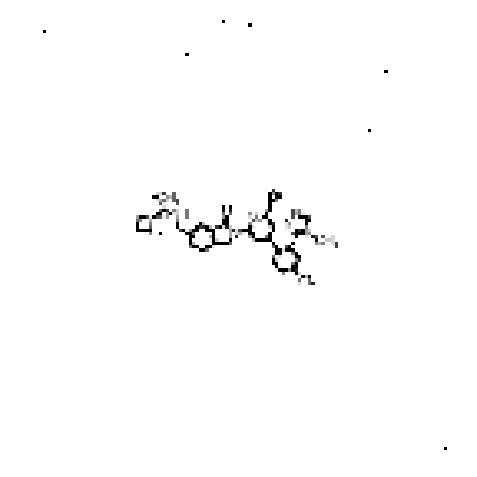 C[C@@H](NCc1ccc2c(c1)C(=O)N(c1cc(-c3ccc(C#N)cc3-c3nncn3C)cc(C3CC3)n1)C2)C1CCC1